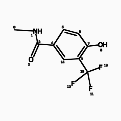 CNC(=O)c1ccc(O)c(C(F)(F)F)c1